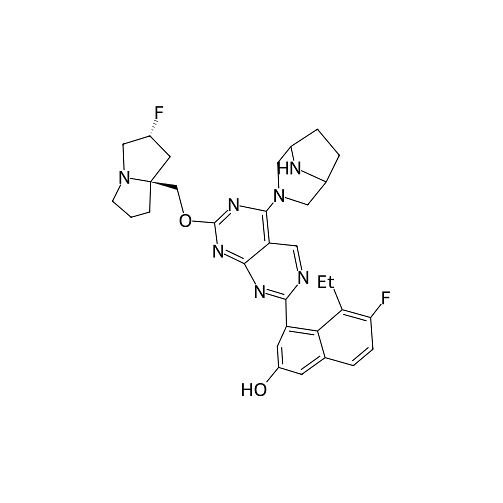 CCc1c(F)ccc2cc(O)cc(-c3ncc4c(N5CC6CCC(C5)N6)nc(OC[C@@]56CCCN5C[C@H](F)C6)nc4n3)c12